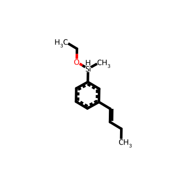 CCC=Cc1cccc([SiH](C)OCC)c1